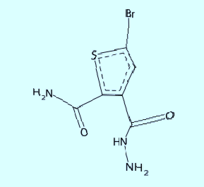 NNC(=O)c1cc(Br)sc1C(N)=O